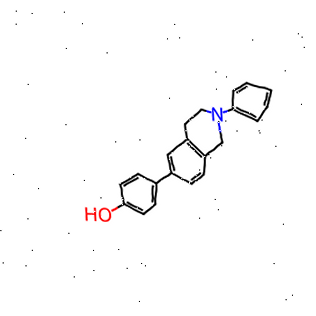 Oc1ccc(-c2ccc3c(c2)CCN(c2ccccc2)C3)cc1